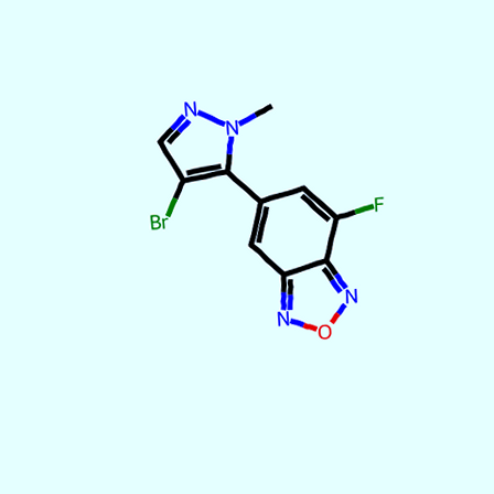 Cn1ncc(Br)c1-c1cc(F)c2nonc2c1